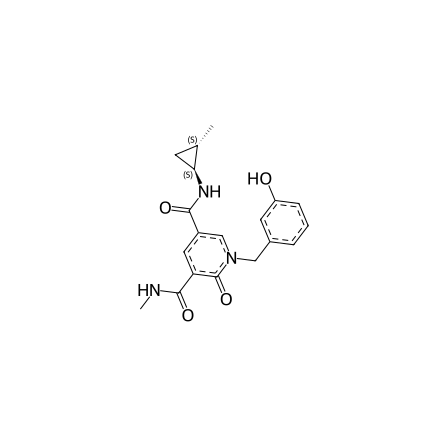 CNC(=O)c1cc(C(=O)N[C@H]2C[C@@H]2C)cn(Cc2cccc(O)c2)c1=O